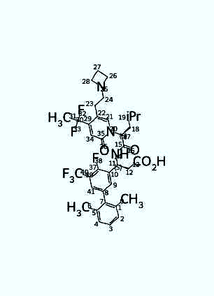 Cc1cccc(C)c1-c1cc([C@H](CC(=O)O)NC(=O)[C@H](CC(C)C)n2cc(CCN3CCC3)c(C(C)(F)F)cc2=O)c(F)c(C(F)(F)F)c1